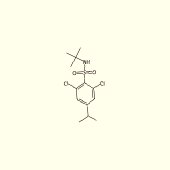 CC(C)c1cc(Cl)c(S(=O)(=O)NC(C)(C)C)c(Cl)c1